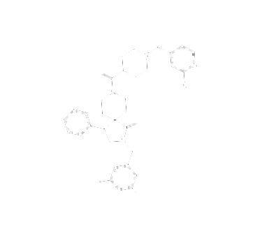 Nc1cc(CN2CCC(C(=O)N3CCC4(CC3)C(=O)N(Cc3cc(C(F)(F)F)cc(C(F)(F)F)c3)CC4c3ccccc3)CC2)ccn1